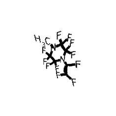 CN1C(F)(F)C(F)(F)N(C(F)=C(F)F)C(F)(F)C1(F)F